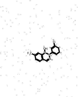 OB1c2cc(C(F)(F)F)ccc2C=NN1C1=CCCC(Cl)=C1